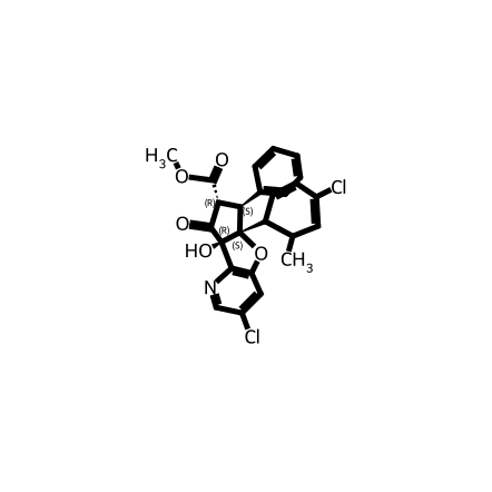 COC(=O)[C@H]1C(=O)[C@@]2(O)c3ncc(Cl)cc3O[C@@]2(C2C=CC(Cl)=CC2C)[C@@H]1c1ccccc1